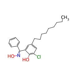 CCCCCCCCCc1cc(Cl)c(O)c(C(=NO)c2ccccc2)c1